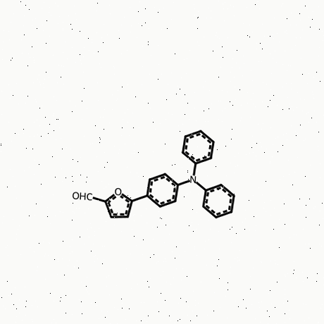 O=Cc1ccc(-c2ccc(N(c3ccccc3)c3ccccc3)cc2)o1